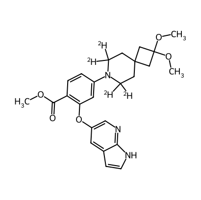 [2H]C1([2H])CC2(CC(OC)(OC)C2)CC([2H])([2H])N1c1ccc(C(=O)OC)c(Oc2cnc3[nH]ccc3c2)c1